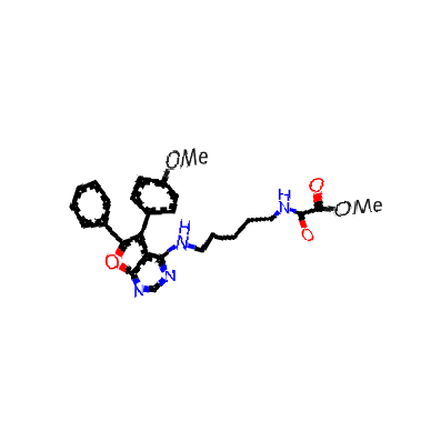 COC(=O)C(=O)NCCCCCNc1ncnc2oc(-c3ccccc3)c(-c3ccc(OC)cc3)c12